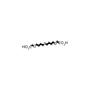 O=C(O)COCCCCSCCCCOCC(=O)O